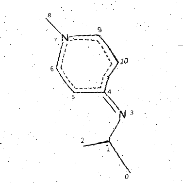 CC(C)N=c1ccn(C)cc1